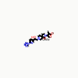 COC1CN(C[C@H](O)c2ccc(-n3cnnn3)nc2)CCC12CCN(C1=C(C)C(=O)OC1)C2=O